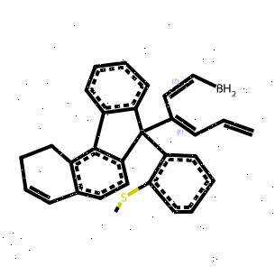 B/C=C\C(=C/C=C)C1(c2ccccc2SC)c2ccccc2-c2c1ccc1c2CCC=C1